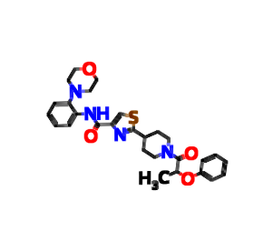 CC(Oc1ccccc1)C(=O)N1CCC(c2nc(C(=O)Nc3ccccc3N3CCOCC3)cs2)CC1